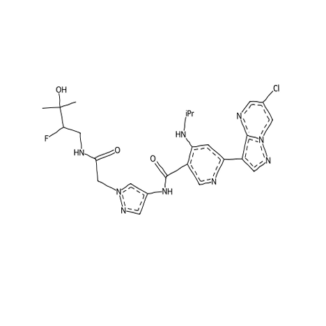 CC(C)Nc1cc(-c2cnn3cc(Cl)cnc23)ncc1C(=O)Nc1cnn(CC(=O)NCC(F)C(C)(C)O)c1